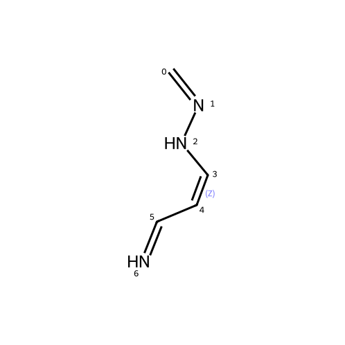 C=NN/C=C\C=N